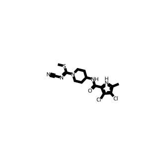 CS/C(=N\C#N)N1CCC(NC(=O)c2[nH]c(C)c(Cl)c2Cl)CC1